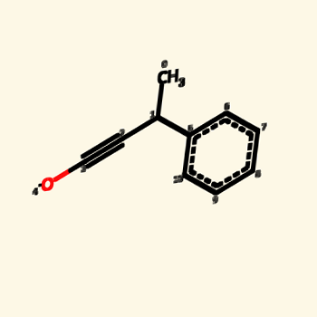 CC(C#C[O])c1ccccc1